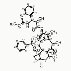 CC(=O)O[C@@]12CO[C@@H]1C[C@H](O)[C@@]1(C)C(=O)[C@H](O)C3=C(C)C(OC(=O)[C@H](O)[C@@H](NC(=O)OC(C)(C)C)c4ccccc4)C[C@@](O)([C@@H](OC(=O)c4ccccc4)C12)C3(C)C